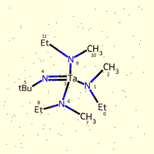 CC[N](C)[Ta](=[N]C(C)(C)C)([N](C)CC)[N](C)CC